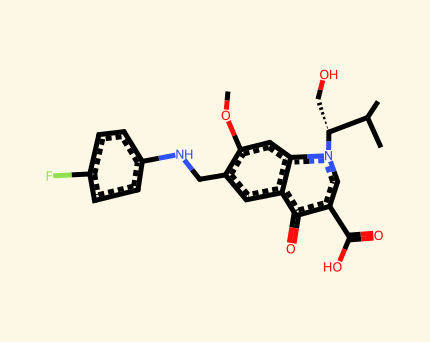 COc1cc2c(cc1CNc1ccc(F)cc1)c(=O)c(C(=O)O)cn2[C@H](CO)C(C)C